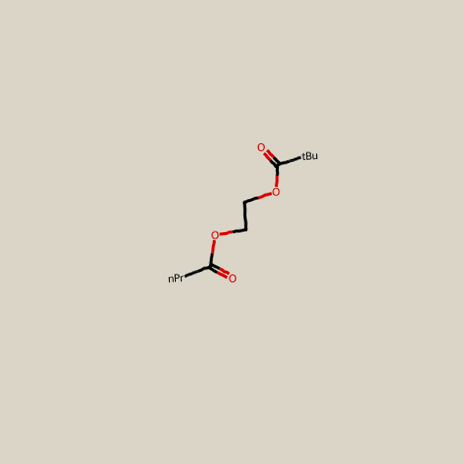 CCCC(=O)OCCOC(=O)C(C)(C)C